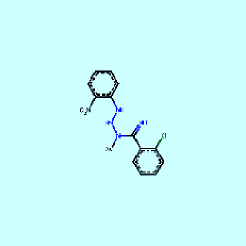 CC(=O)N(NNc1ccccc1[N+](=O)[O-])C(=N)c1ccccc1Cl